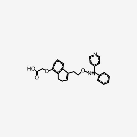 O=C(O)COc1cccc2c1CCC=C2CCONC(c1ccccc1)c1ccncc1